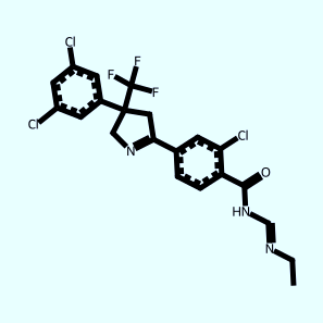 CC/N=C/NC(=O)c1ccc(C2=NCC(c3cc(Cl)cc(Cl)c3)(C(F)(F)F)C2)cc1Cl